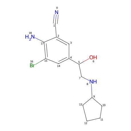 N#Cc1cc(C(O)CNC2CCCC2)cc(Br)c1N